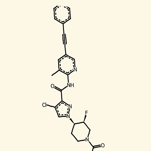 CC(=O)N1CC[C@@H](n2cc(Cl)c(C(=O)Nc3ncc(C#Cc4ccccc4)cc3C)n2)[C@@H](F)C1